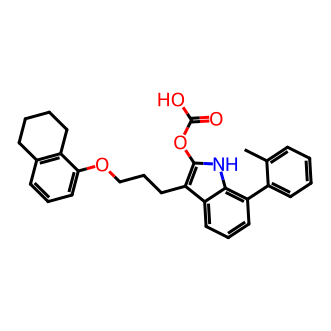 Cc1ccccc1-c1cccc2c(CCCOc3cccc4c3CCCC4)c(OC(=O)O)[nH]c12